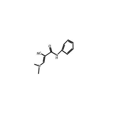 CN(C)C=C(C#N)C(=O)Nc1ccccc1